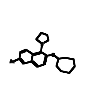 CC(=O)c1ccc2c([S+]3CCCC3)c(OC3CCCCCC3)ccc2c1